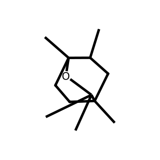 CC1CC2(C)CCC1(C)OC2(C)C